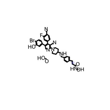 N#Cc1ccc(-c2c(-c3ccc(Br)c(O)c3)cnc(N3CCC(NCc4ccc(/C=C/C(=O)NO)cc4)CC3)c2C#N)cc1F.O=CO